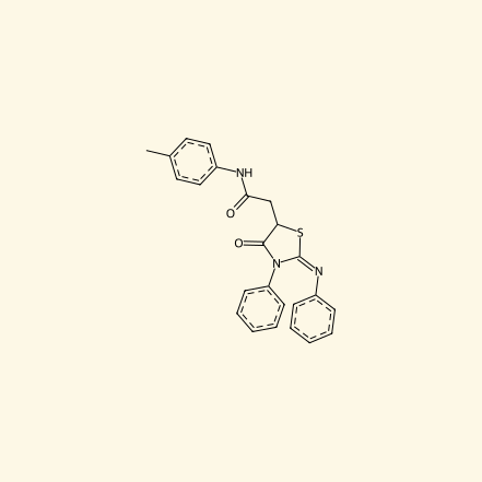 Cc1ccc(NC(=O)CC2S/C(=N/c3ccccc3)N(c3ccccc3)C2=O)cc1